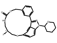 O=C1NC[C@H](F)COc2ccc3c(c2)c(nn3C2CCCCO2)-c2cccc(c2)CO1